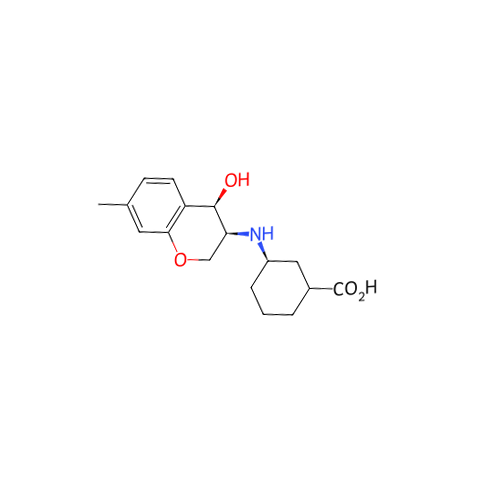 Cc1ccc2c(c1)OC[C@H](N[C@@H]1CCCC(C(=O)O)C1)[C@@H]2O